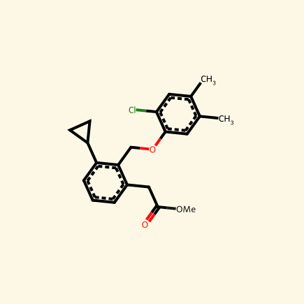 COC(=O)Cc1cccc(C2CC2)c1COc1cc(C)c(C)cc1Cl